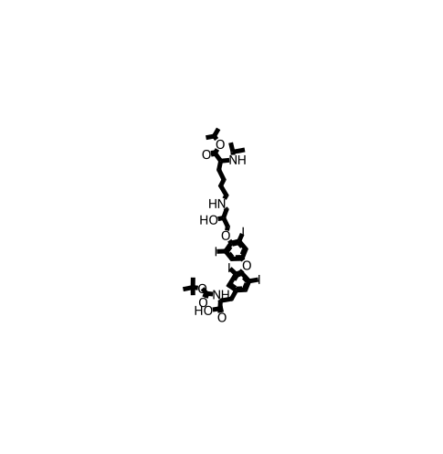 CC(C)NC(CCCCNCC(O)COc1c(I)cc(Oc2c(I)cc(CC(NC(=O)OC(C)(C)C)C(=O)O)cc2I)cc1I)C(=O)OC(C)C